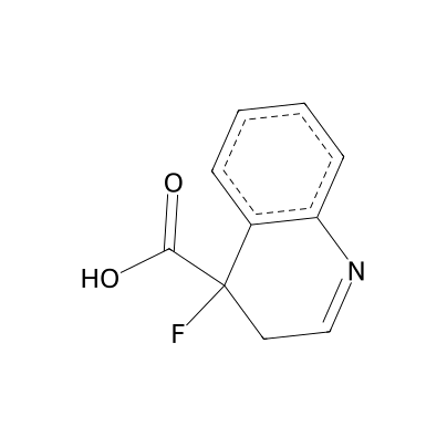 O=C(O)C1(F)CC=Nc2ccccc21